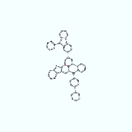 c1ccc(-c2ccc(N(c3ccc4sc5ccccc5c4c3)c3ccccc3-c3cccc(-c4ccc5c6ccccc6n(-c6ccccc6)c5c4)c3)cc2)cc1